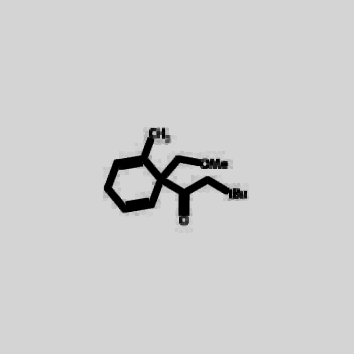 COCC1(C(=O)CC(C)(C)C)C=CCC=C1C